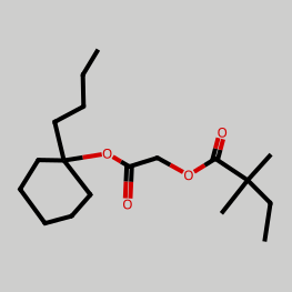 CCCCC1(OC(=O)COC(=O)C(C)(C)CC)CCCCC1